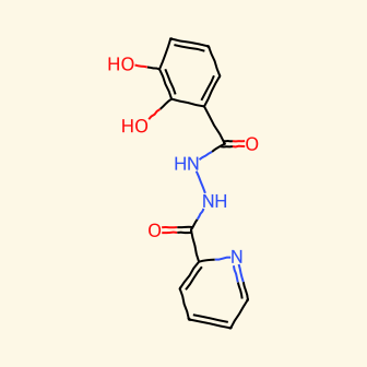 O=C(NNC(=O)c1cccc(O)c1O)c1ccccn1